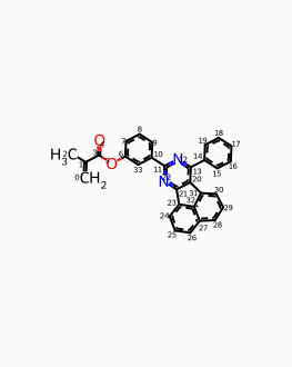 C=C(C)C(=O)Oc1cccc(-c2nc(-c3ccccc3)c3c(n2)-c2cccc4cccc-3c24)c1